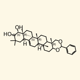 CC1(C)C[C@@H]2C3=CC[C@@H]4[C@@]5(C)CCC6OC(c7ccccc7)OC[C@@]6(C)C5CC[C@@]4(C)[C@]3(C)CC[C@@]2(C)[C@H](O)[C@@H]1O